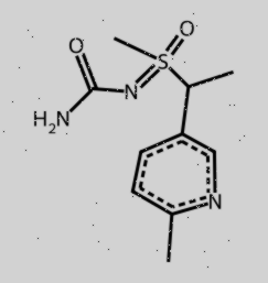 Cc1ccc(C(C)S(C)(=O)=NC(N)=O)cn1